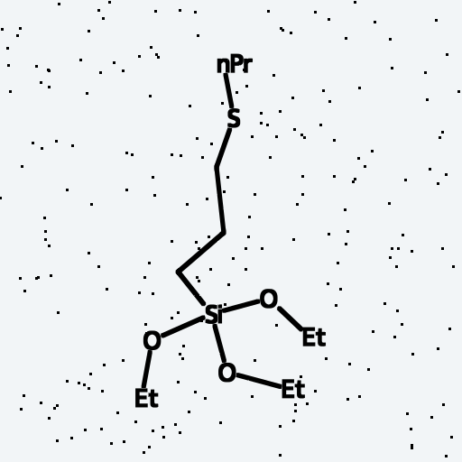 CCCSCCC[Si](OCC)(OCC)OCC